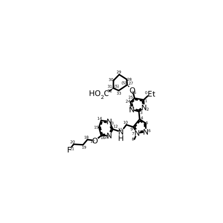 CCc1nc(-c2cnn(C)c2CNc2nccc(OCCCF)n2)ncc1O[C@H]1CCC[C@H](C(=O)O)C1